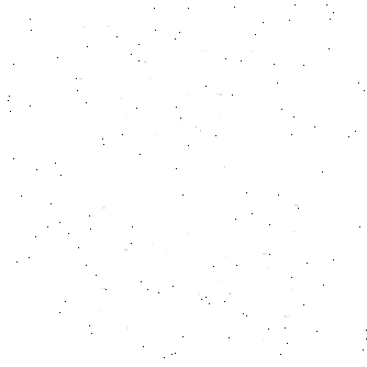 Cc1cc(C)cc(N(c2ccc3c(c2)c2ccccc2c2c(-c4ccccc4)cc(-c4ccccc4)c(-c4ccccc4)c32)c2ccc3c4c(cccc24)-c2ccccc2-3)c1